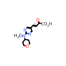 CN(c1ncc(/C=C/C(=O)C(=O)O)cn1)C1CCOCC1